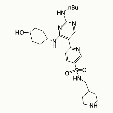 CCCCNc1ncc(-c2ccc(S(=O)(=O)NCC3CCNCC3)cn2)c(N[C@H]2CC[C@H](O)CC2)n1